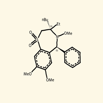 CCCC[C@@]1(CC)CS(=O)(=O)c2cc(OC)c(OC)cc2[C@H](c2ccccc2)N1OC